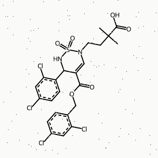 CC(C)(CCN1C=C(C(=O)OCc2ccc(Cl)cc2Cl)C(c2ccc(Cl)cc2Cl)NS1(=O)=O)C(=O)O